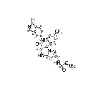 CC1=C(C(=O)Nc2ccc3[nH]ncc3c2)C(c2ccc(C(F)(F)F)cc2)n2nc(CNC(=O)OC(C)(C)C)cc2N1